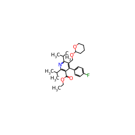 CCOC(=O)c1c(C(C)C)nc(C(C)C)c(COC2CCCCO2)c1-c1ccc(F)cc1